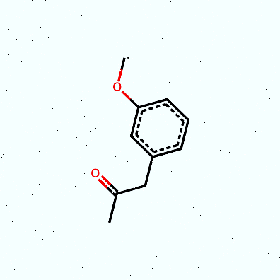 [CH2]Oc1cccc(CC(C)=O)c1